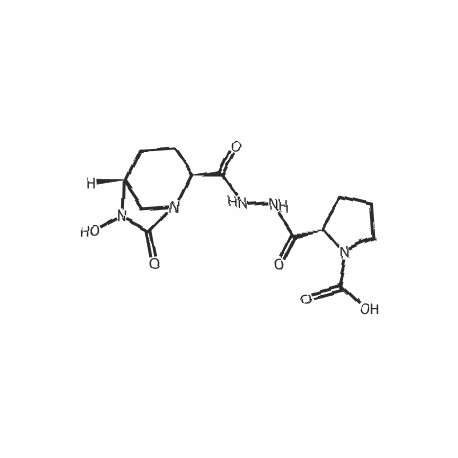 O=C(NNC(=O)[C@@H]1CC[C@@H]2CN1C(=O)N2O)[C@H]1CCCN1C(=O)O